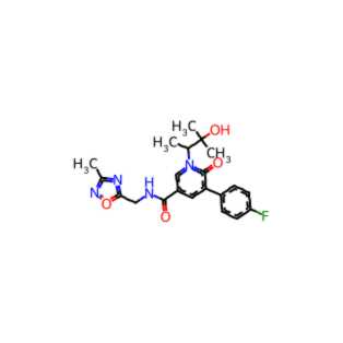 Cc1noc(CNC(=O)c2cc(-c3ccc(F)cc3)c(=O)n(C(C)C(C)(C)O)c2)n1